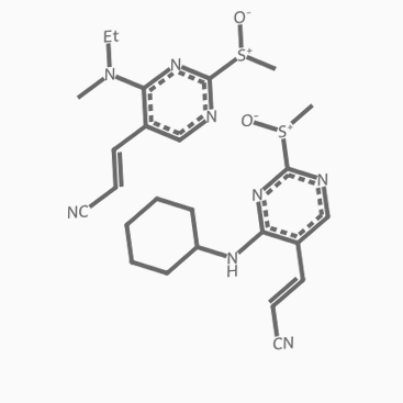 CCN(C)c1nc([S+](C)[O-])ncc1/C=C/C#N.C[S+]([O-])c1ncc(/C=C/C#N)c(NC2CCCCC2)n1